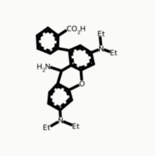 CCN(CC)c1ccc2c(c1)Oc1cc(N(CC)CC)cc(-c3ccccc3C(=O)O)c1C2N